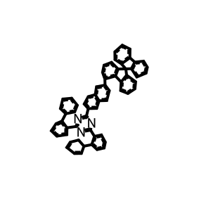 C1=CCC(c2ccccc2-c2nc(-c3ccc4cc(-c5cccc6c5-c5ccccc5C65c6ccccc6-c6ccccc65)ccc4c3)nc(-c3ccccc3-c3ccccc3)n2)C=C1